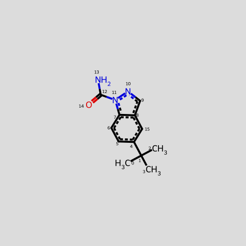 CC(C)(C)c1ccc2c(cnn2C(N)=O)c1